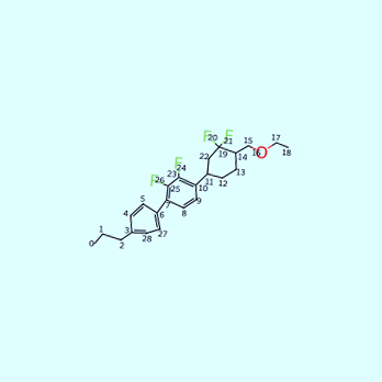 CCCc1ccc(-c2ccc(C3CCC(COCC)C(F)(F)C3)c(F)c2F)cc1